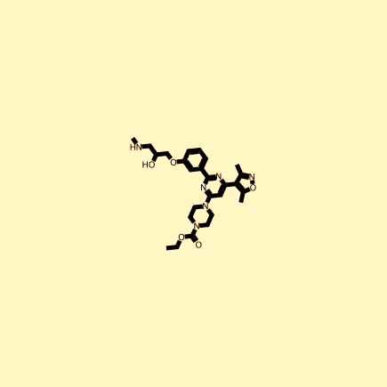 CCOC(=O)N1CCN(c2cc(-c3c(C)noc3C)nc(-c3cccc(OCC(O)CNC)c3)n2)CC1